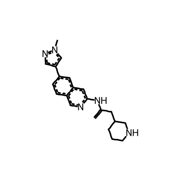 C=C(CC1CCCNC1)Nc1cc2cc(-c3cnn(C)c3)ccc2cn1